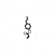 C=CC(=O)O[C]1CCC(CCC)CC1